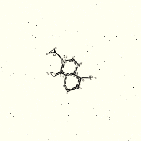 O=c1c2cccc(F)c2ncn1C1CC1